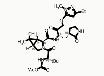 CCc1cc(OCC(=O)[C@H](C[C@@H]2CCNC2=O)NC(=O)[C@@H]2[C@@H]3[C@H](CN2C(=O)[C@@H](NC(=O)OC)C(C)(C)C)C3(C)C)n(C)n1